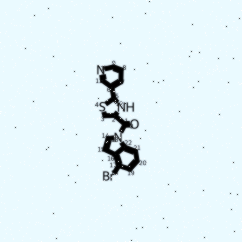 O=C(C1CSC(c2cccnc2)N1)n1ccc2c(Br)cccc21